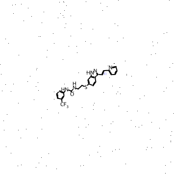 O=C(NCCSc1ccc2c(/C=C/c3ccccn3)n[nH]c2c1)Nc1cccc(C(F)(F)F)c1